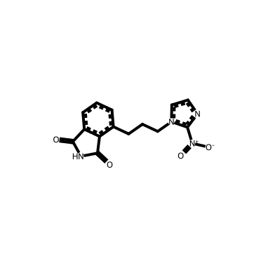 O=C1NC(=O)c2c(CCCn3ccnc3[N+](=O)[O-])cccc21